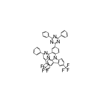 FC(F)(F)c1ccc2c(c1)c1cc(C(F)(F)F)ccc1n2-c1ccc(-c2nc(-c3ccccc3)nc(-c3ccccc3)n2)cc1-c1nc(-c2ccccc2)cc(-c2ccccc2)n1